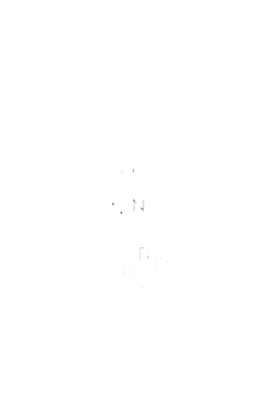 CC(=O)Cn1cc(B2OC(C)(C)C(C)(C)O2)cn1